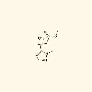 COC(=O)CC(C)(N)c1ccnn1C